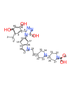 CC(C)c1cc(-c2nnc(O)n2-c2ccc3ccn(CCC4CCN(C5CCN(C(=O)O)CC5)CC4)c3c2)c(O)cc1O